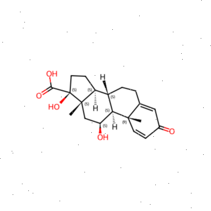 C[C@]12C=CC(=O)C=C1CC[C@@H]1[C@@H]2[C@@H](O)C[C@@]2(C)[C@H]1CC[C@@]2(O)C(=O)O